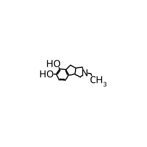 CCN1CC2Cc3c(ccc(O)c3O)C2C1